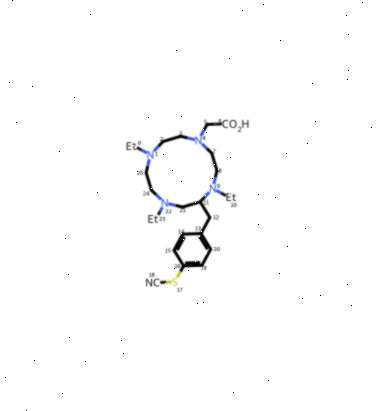 CCN1CCN(CC(=O)O)CCN(CC)C(Cc2ccc(SC#N)cc2)CN(CC)CC1